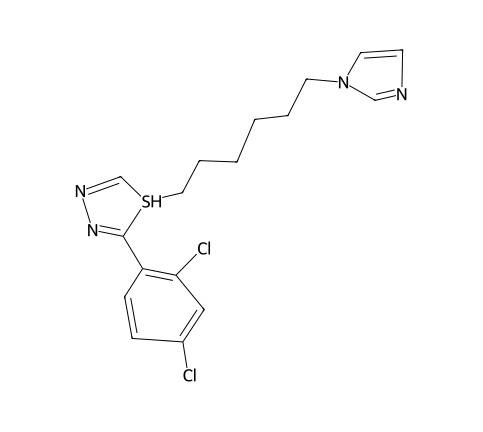 Clc1ccc(C2=NN=C[SH]2CCCCCCn2ccnc2)c(Cl)c1